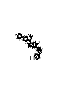 Cc1nn2c(-c3ccnc4cc(-c5ccncc5)ccc34)cnc2cc1-c1cnn(CC2CCNCC2)c1